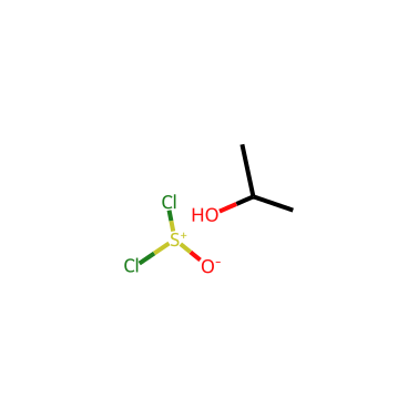 CC(C)O.[O-][S+](Cl)Cl